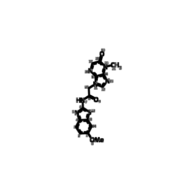 COc1ccc2nc(NC(=O)Cn3cnc4c3ncc(=O)n4C)sc2c1